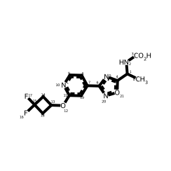 CC(NC(=O)O)c1nc(-c2ccnc(OC3CC(F)(F)C3)c2)no1